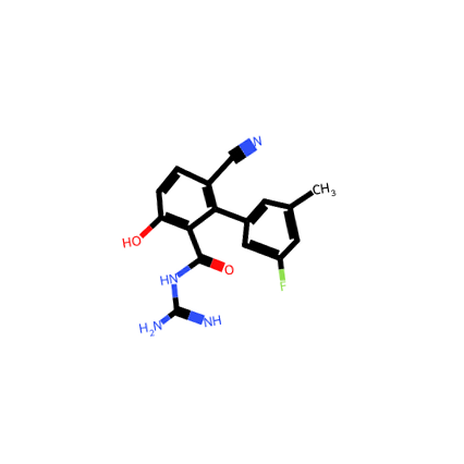 Cc1cc(F)cc(-c2c(C#N)ccc(O)c2C(=O)NC(=N)N)c1